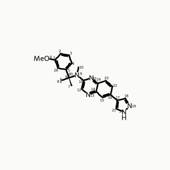 COc1cccc([C@@](C)(I)N(C)c2cnc3cc(-c4cn[nH]c4)ccc3n2)c1